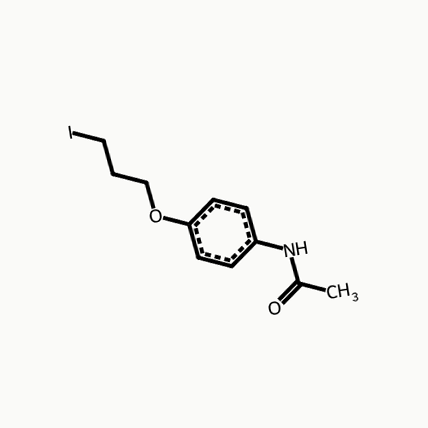 CC(=O)Nc1ccc(OCCCI)cc1